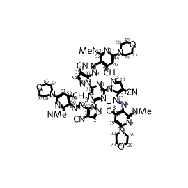 [C-]#[N+]c1cnn(-c2nc(-n3ncc(C#N)c3/N=N/c3c(C)cc(N4CCOCC4)nc3NC)nc(-n3ncc(C#N)c3/N=N/c3c(C)cc(N4CCOCC4)nc3NC)n2)c1/N=N/c1c(C)cc(N2CCOCC2)nc1NC